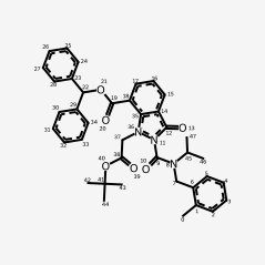 Cc1ccccc1CN(C(=O)n1c(=O)c2cccc(C(=O)OC(c3ccccc3)c3ccccc3)c2n1CC(=O)OC(C)(C)C)C(C)C